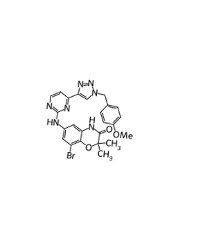 COc1ccc(Cn2cc(-c3ccnc(Nc4cc(Br)c5c(c4)NC(=O)C(C)(C)O5)n3)nn2)cc1